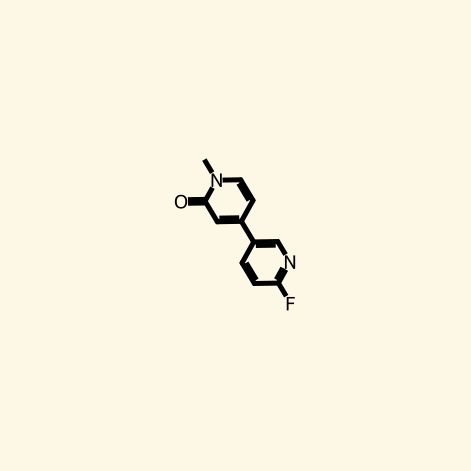 Cn1ccc(-c2ccc(F)nc2)cc1=O